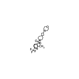 Cc1nc(C(F)(F)F)ccc1S(=O)(=O)N1CCC2(CC1)CC(N1CCOCC1)C2